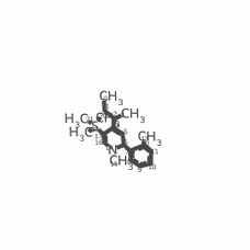 CCC(C)C1=CC(c2ccccc2C)N(C)C=C1S(C)(C)C